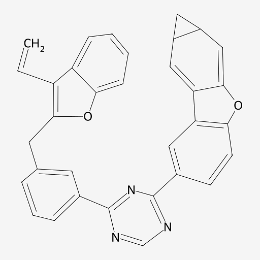 C=Cc1c(Cc2cccc(-c3ncnc(-c4ccc5oc6c(c5c4)=CC4CC4C=6)n3)c2)oc2ccccc12